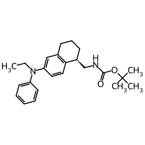 CCN(c1ccccc1)c1ccc2c(c1)CCC[C@H]2CNC(=O)OC(C)(C)C